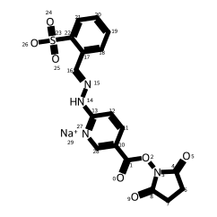 O=C(ON1C(=O)CCC1=O)c1ccc(N/N=C/c2ccccc2S(=O)(=O)[O-])nc1.[Na+]